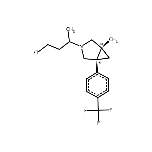 CC(CCCl)N1C[C@]2(C)C[C@]2(c2ccc(C(F)(F)F)cc2)C1